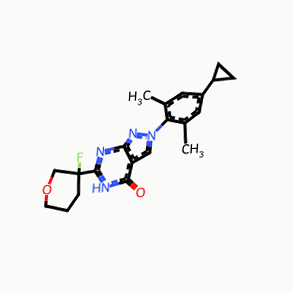 Cc1cc(C2CC2)cc(C)c1-n1cc2c(=O)[nH]c(C3(F)CCCOC3)nc2n1